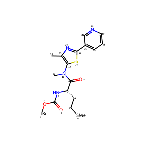 CSCC[C@H](NC(=O)OC(C)(C)C)C(=O)N(C)c1sc(-c2cccnc2)nc1C